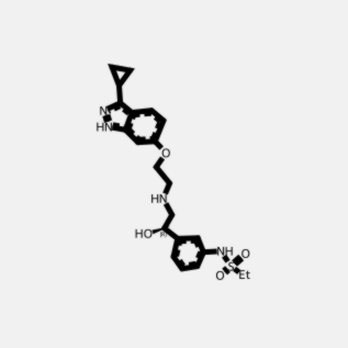 CCS(=O)(=O)Nc1cccc([C@@H](O)CNCCOc2ccc3c(C4CC4)n[nH]c3c2)c1